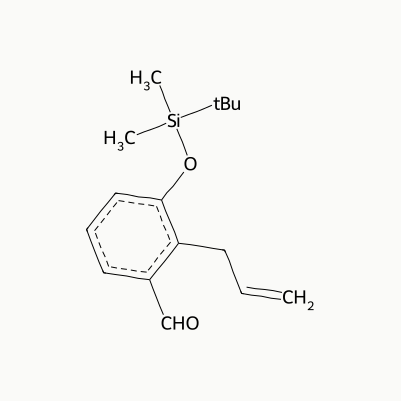 C=CCc1c(C=O)cccc1O[Si](C)(C)C(C)(C)C